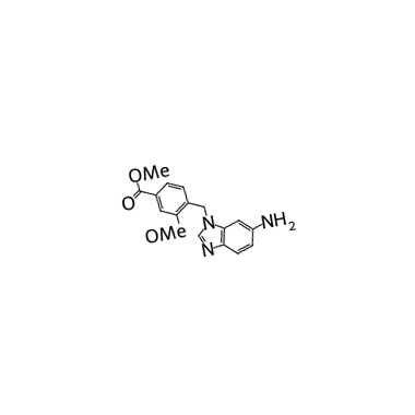 COC(=O)c1ccc(Cn2cnc3ccc(N)cc32)c(OC)c1